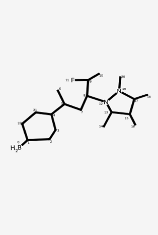 BC1CCC(C(C)CC(C(C)F)N2C(C)C(C)C(C)N2C)CC1